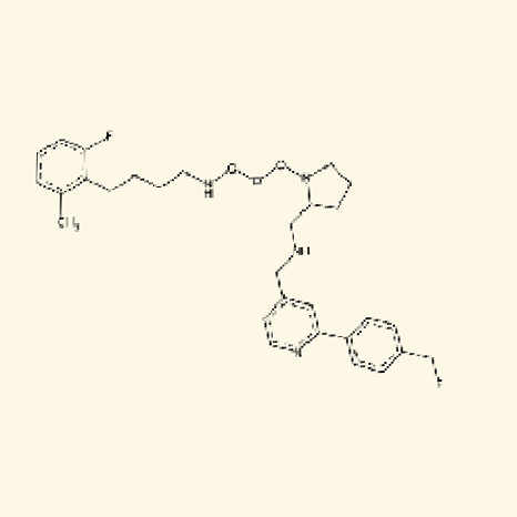 Cc1cccc(F)c1CCCCNOOON1CCCC1CNCc1ccnc(-c2ccc(CF)cc2)c1